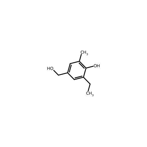 CCc1cc(CO)cc(C)c1O